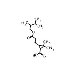 CC(C)C(C)COC(=O)C=CC1C(C(=O)O)C1(C)C